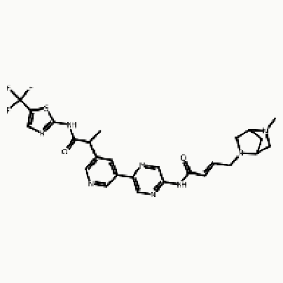 CC(C(=O)Nc1ncc(C(F)(F)F)s1)c1cncc(-c2cnc(NC(=O)/C=C/CN3CC4CC3CN4C)cn2)c1